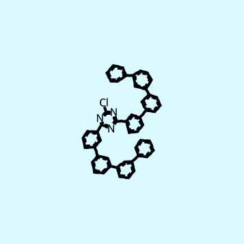 Clc1nc(-c2cccc(-c3cccc(-c4cccc(-c5ccccc5)c4)c3)c2)nc(-c2cccc(-c3cccc(-c4cccc(-c5ccccc5)c4)c3)c2)n1